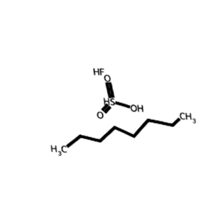 CCCCCCCC.F.O=[SH](=O)O